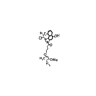 COC(C)C=C(C)OCCCCC(=O)N1C[C@@H](CCl)c2c1cc(O)c1cccc(C)c21